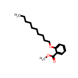 CCCCCCCCCCOc1ccccc1C(=O)OC